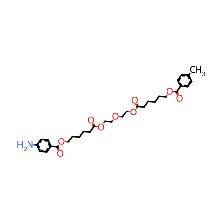 Cc1ccc(C(=O)OCCCCCC(=O)OCCOCCOC(=O)CCCCCOC(=O)c2ccc(N)cc2)cc1